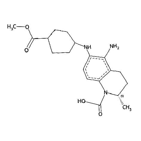 COC(=O)C1CCC(Nc2ccc3c(c2N)CC[C@H](C)N3C(=O)O)CC1